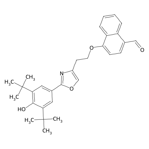 CC(C)(C)c1cc(-c2nc(CCOc3ccc(C=O)c4ccccc34)co2)cc(C(C)(C)C)c1O